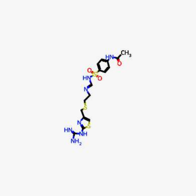 CC(=O)Nc1ccc(S(=O)(=O)NC=NCCSCc2csc(NC(=N)N)n2)cc1